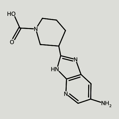 Nc1cnc2[nH]c(C3CCCN(C(=O)O)C3)nc2c1